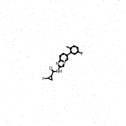 Cc1ccc(F)cc1-c1ccc2nc(NC(=O)C3CC3F)cn2c1